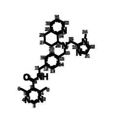 Cc1ncnc(C)c1C(=O)NCc1ccc(CN(Cc2nccn2C)C2CCCc3cccnc32)cc1